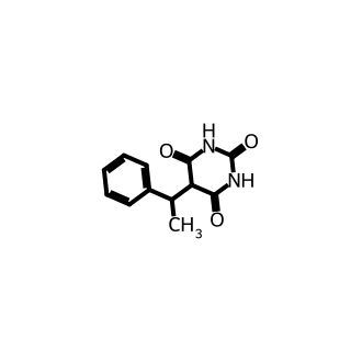 CC(c1ccccc1)C1C(=O)NC(=O)NC1=O